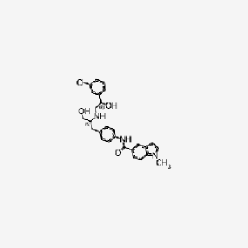 Cn1ccc2cc(C(=O)Nc3ccc(C[C@@H](CO)NC[C@H](O)c4cccc(Cl)c4)cc3)ccc21